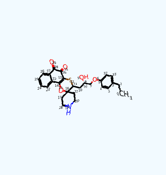 CCc1ccc(OC[C@@H](O)CC2SC3=C(OC24CCNCC4)c2ccccc2C(=O)C3=O)cc1